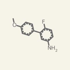 COc1ccc(-c2cc(N)ccc2F)cc1